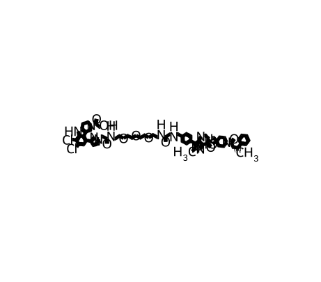 C[C@H](CC(=O)N1CCC(O)(Cn2cnc3c(-c4ccc(CNCC(=O)NCCOCCOCCOCCNC(=O)Cn5ccc(-c6cc(Cl)c(Cl)c7[nH]c8c(c67)CN(C(=O)CO)CC8)n5)cc4)n(C)nc3c2=O)CC1)c1ccccc1